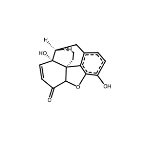 O=C1C=C[C@@]2(O)[C@H]3Cc4ccc(O)c5c4[C@@]2(CCN3)C1O5